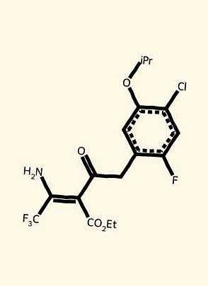 CCOC(=O)/C(C(=O)Cc1cc(OC(C)C)c(Cl)cc1F)=C(/N)C(F)(F)F